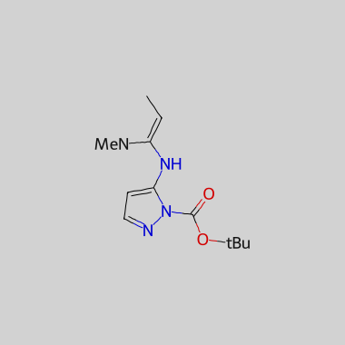 C/C=C(\NC)Nc1ccnn1C(=O)OC(C)(C)C